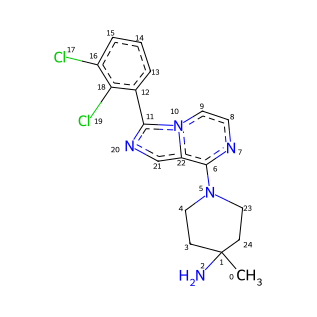 CC1(N)CCN(c2nccn3c(-c4cccc(Cl)c4Cl)ncc23)CC1